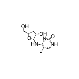 O=c1nc(N[C@H]2O[C@@H](CO)C[C@H]2O)c(F)c[nH]1